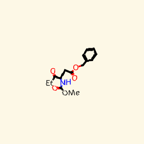 CCC(=O)C(CC(=O)OCc1ccccc1)NC(=O)OC